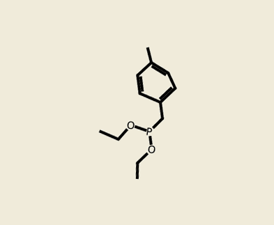 CCOP(Cc1ccc(C)cc1)OCC